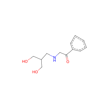 O=C(CNCC(CO)CO)c1ccccc1